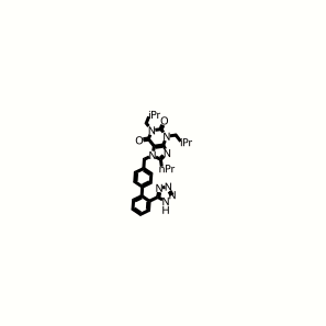 CCCc1nc2c(c(=O)n(CC(C)C)c(=O)n2CC(C)C)n1Cc1ccc(-c2ccccc2-c2nnn[nH]2)cc1